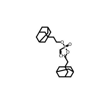 C=CP(=O)(OCCC12CC3CC(CC(C3)C1)C2)OCCC12CC3CC(CC(C3)C1)C2